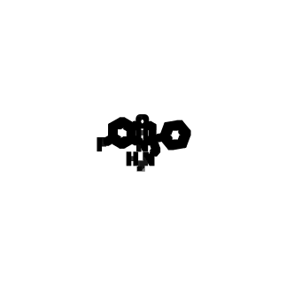 NCC1(c2ccccc2)COc2ccc(F)cc2N1